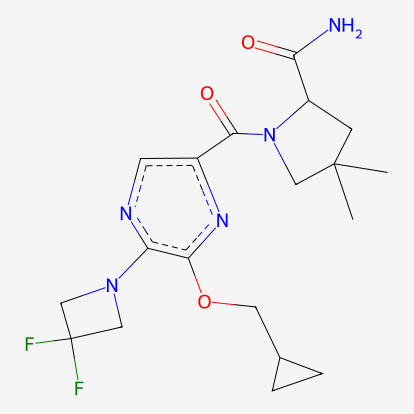 CC1(C)CC(C(N)=O)N(C(=O)c2cnc(N3CC(F)(F)C3)c(OCC3CC3)n2)C1